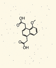 COc1cccc2c(CC(=O)O)ccc(CC(=O)O)c12